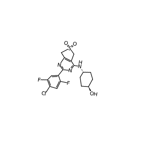 O=S1(=O)Cc2nc(-c3cc(F)c(Cl)cc3F)nc(N[C@H]3CC[C@H](O)CC3)c2C1